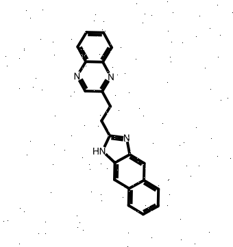 c1ccc2cc3[nH]c(CCc4cnc5ccccc5n4)nc3cc2c1